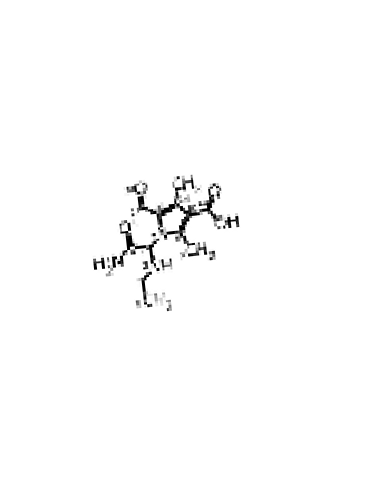 CCNC(C(N)=O)n1c(C)c(C(=O)O)c(C)c1C=O